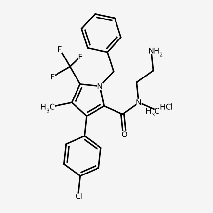 Cc1c(-c2ccc(Cl)cc2)c(C(=O)N(C)CCN)n(Cc2ccccc2)c1C(F)(F)F.Cl